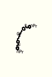 CCCc1ccc(CC(F)C2CCC(CCCCC(=O)CCCC[C@H]3CC[C@H](C(F)Cc4ccc(CCC)cc4)CC3)CC2)cc1